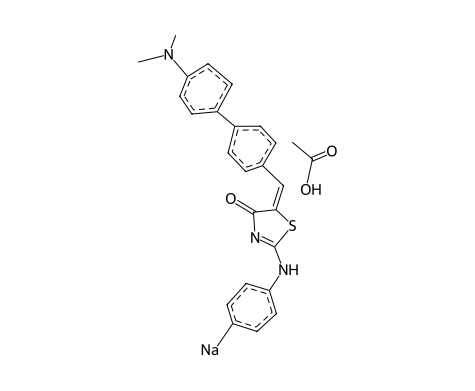 CC(=O)O.CN(C)c1ccc(-c2ccc(/C=C3/SC(Nc4cc[c]([Na])cc4)=NC3=O)cc2)cc1